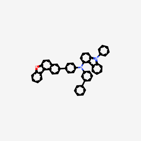 c1ccc(-c2cccc(N(c3ccc(-c4ccc5c(ccc6oc7ccccc7c65)c4)cc3)c3cccc4c3c3ccccc3n4-c3ccccc3)c2)cc1